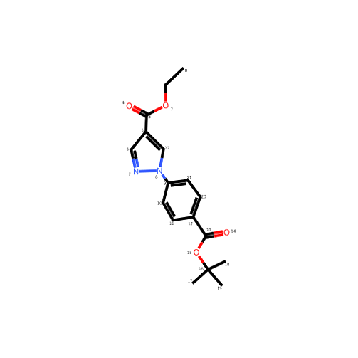 CCOC(=O)c1cnn(-c2ccc(C(=O)OC(C)(C)C)cc2)c1